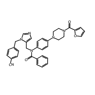 N#Cc1ccc(Cn2cncc2CN(C(=O)c2ccccc2)c2ccc(N3CCN(C(=O)c4ccco4)CC3)cc2)cc1